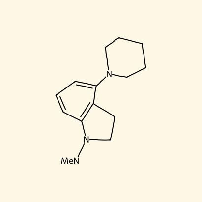 CNN1CCc2c(N3CCCCC3)cccc21